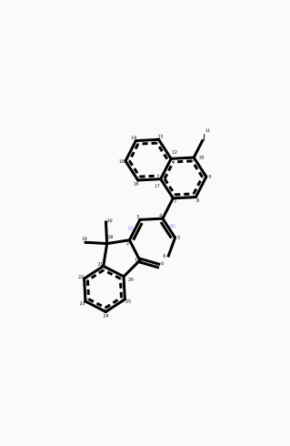 C=C1/C(=C\C(=C/C)c2ccc(I)c3ccccc23)C(C)(C)c2ccccc21